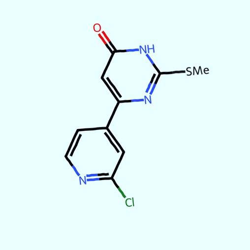 CSc1nc(-c2ccnc(Cl)c2)cc(=O)[nH]1